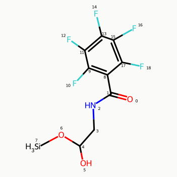 O=C(NCC(O)O[SiH3])c1c(F)c(F)c(F)c(F)c1F